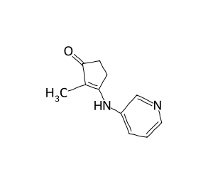 CC1=C(Nc2cccnc2)CCC1=O